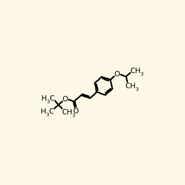 CC(C)Oc1ccc(/C=C/C(=O)OC(C)(C)C)cc1